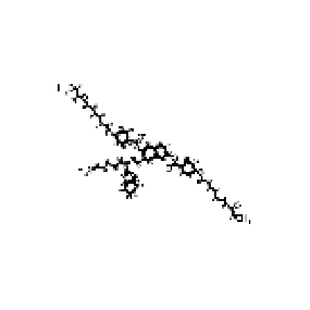 C=CC(=O)OCCCCCCOc1ccc(C(=O)Oc2ccc3cc(OC(=O)c4ccc(OCCCCCCOC(=O)C=C)cc4)c(/C=N/N(CCCCCC)c4nc5ccccc5s4)cc3c2)cc1